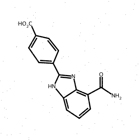 NC(=O)c1cccc2[nH]c(-c3ccc(C(=O)O)cc3)nc12